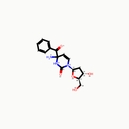 NC1(C(=O)c2ccccc2)C=CN([C@H]2C[C@H](O)[C@@H](CO)O2)C(=O)N1